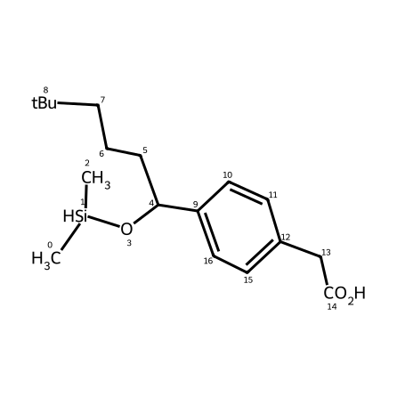 C[SiH](C)OC(CCCC(C)(C)C)c1ccc(CC(=O)O)cc1